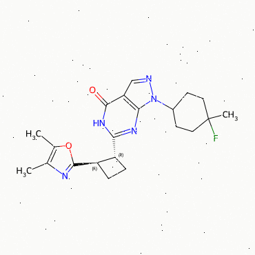 Cc1nc([C@@H]2CC[C@H]2c2nc3c(cnn3C3CCC(C)(F)CC3)c(=O)[nH]2)oc1C